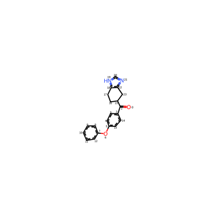 O=C(c1ccc(Oc2ccccc2)cc1)C1CCc2[nH]cnc2C1